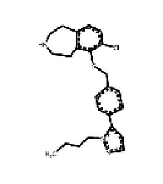 CCCCn1nccc1-c1ccc(CSc2c(Cl)ccc3c2CCNCC3)cc1